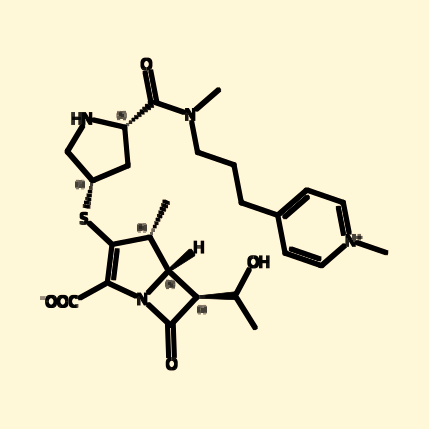 CC(O)[C@H]1C(=O)N2C(C(=O)[O-])=C(S[C@@H]3CN[C@H](C(=O)N(C)CCCc4cc[n+](C)cc4)C3)[C@H](C)[C@H]12